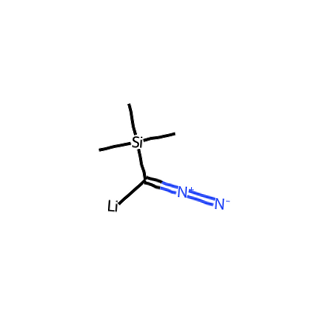 [Li][C](=[N+]=[N-])[Si](C)(C)C